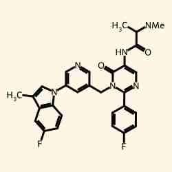 CNC(C)C(=O)Nc1cnc(-c2ccc(F)cc2)n(Cc2cncc(-n3cc(C)c4cc(F)ccc43)c2)c1=O